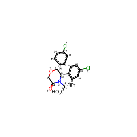 CC(C)[C@H](C(=O)O)N1C(=O)CO[C@H](c2ccc(Cl)cc2)[C@@H]1c1ccc(Cl)cc1